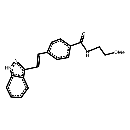 COCCNC(=O)c1ccc(C=Cc2n[nH]c3ccccc23)cc1